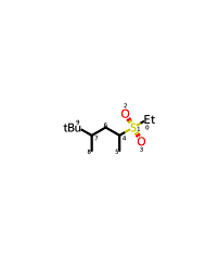 CCS(=O)(=O)C(C)CC(C)C(C)(C)C